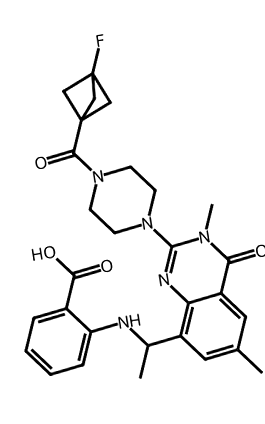 Cc1cc(C(C)Nc2ccccc2C(=O)O)c2nc(N3CCN(C(=O)C45CC(F)(C4)C5)CC3)n(C)c(=O)c2c1